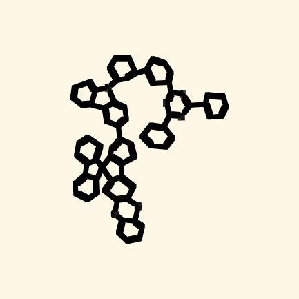 c1ccc(-c2nc(-c3ccccc3)nc(-c3cccc(-c4cccc(-n5c6ccccc6c6cc(-c7ccc8c(c7)C7(c9ccccc9-c9ccccc97)c7cc9c(cc7-8)Oc7ccccc7O9)ccc65)c4)c3)n2)cc1